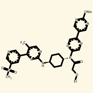 CCOCC(=O)N(c1cnc(-c2cnc(OC)nc2)cn1)[C@H]1CC[C@H](Nc2ncc(C(F)(F)F)c(-c3cncc(S(C)(=O)=O)c3)n2)CC1